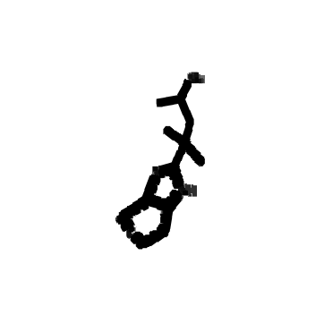 CC(CC(C)(C)c1nc2ccccc2[nH]1)C(C)(C)C